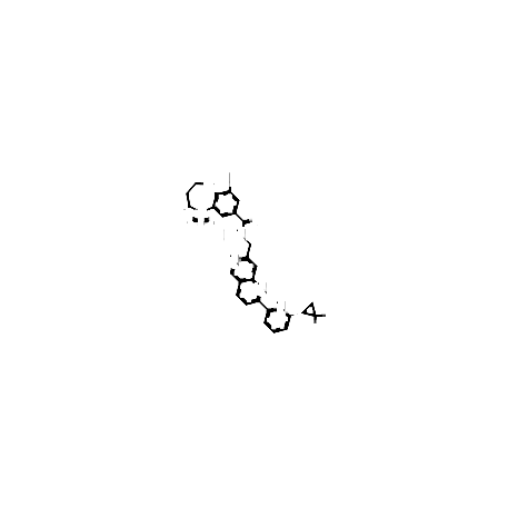 O=C(NCc1cc2nc(-c3cccc([C@H]4CC4(F)F)n3)ccc2cn1)c1cc(F)c2c(c1)S(=O)(=O)[C@@H](F)CCO2